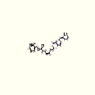 CC/C=C\C/C=C\C/C=C\C/C=C\C/C=C\C/C=C\CCC(=O)OCc1cccnc1